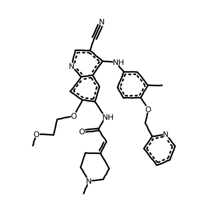 COCCOc1cc2ncc(C#N)c(Nc3ccc(OCc4ccccn4)c(C)c3)c2cc1NC(=O)C=C1CCN(C)CC1